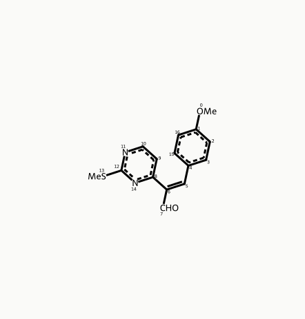 COc1ccc(C=C(C=O)c2ccnc(SC)n2)cc1